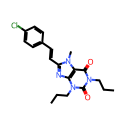 CCCn1c(=O)c2c(nc(C=Cc3ccc(Cl)cc3)n2C)n(CCC)c1=O